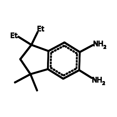 CCC1(CC)CC(C)(C)c2cc(N)c(N)cc21